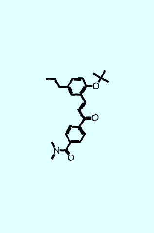 CCCc1ccc(OC(C)(C)C)c(C=CC(=O)c2ccc(C(=O)N(C)C)cc2)c1